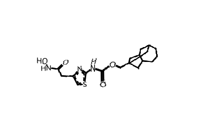 O=C(Cc1csc(NC(=O)OCC23CC4CCCC(C2)C(C4)C3)n1)NO